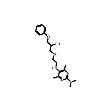 Cc1nc(N(C)C)nc(C)c1NCCNCC(O)COc1ccccc1